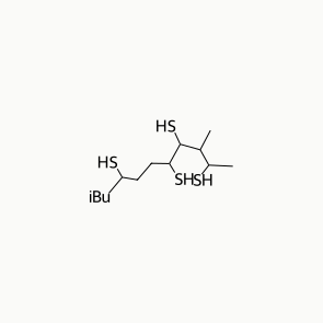 CCC(C)C(S)CCC(S)C(S)C(C)C(C)S